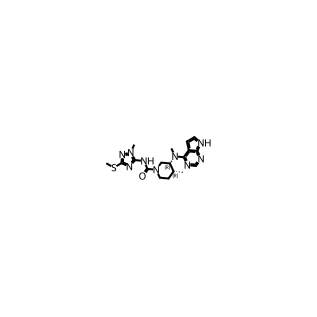 CSc1nc(NC(=O)N2CC[C@@H](C)[C@@H](N(C)c3ncnc4[nH]ccc34)C2)n(C)n1